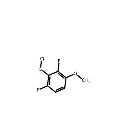 COc1ccc(F)c(SCl)c1F